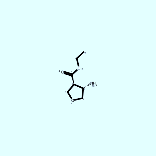 CCOC(=O)[C@@H]1COC[C@H]1N